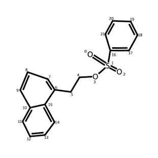 O=S(=O)(OCCc1cccc2ccccc12)c1ccccc1